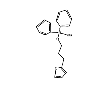 CCC(C)[Si](OCCCc1ccco1)(c1ccccc1)c1ccccc1